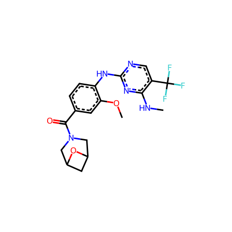 CNc1nc(Nc2ccc(C(=O)N3CC4CC(C3)O4)cc2OC)ncc1C(F)(F)F